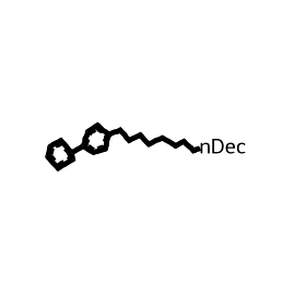 CCCCCCCCCCCCCCCCCCc1ccc(-c2ccccc2)cc1